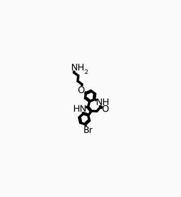 NCCCCOc1ccc2c(c1)-c1[nH]c3ccc(Br)cc3c1CC(=O)N2